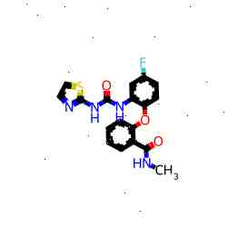 CNC(=O)c1ccccc1Oc1ccc(F)cc1NC(=O)Nc1nccs1